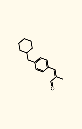 CC(C=O)=Cc1ccc(CC2CCCCC2)cc1